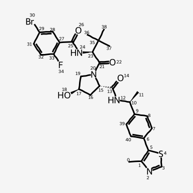 Cc1ncsc1-c1ccc([C@H](C)NC(=O)[C@@H]2C[C@@H](O)CN2C(=O)[C@@H](NC(=O)c2cc(Br)ccc2F)C(C)(C)C)cc1